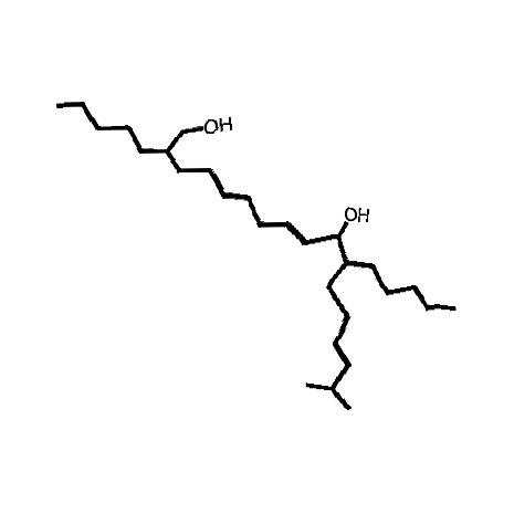 CCCCCC(CO)CCCCCCCC(O)C(CCCCC)CCCCC(C)C